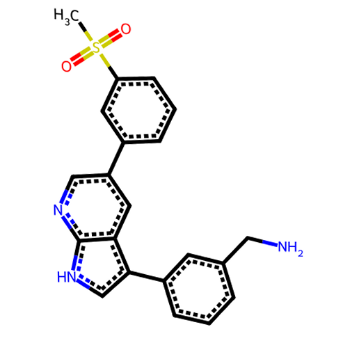 CS(=O)(=O)c1cccc(-c2cnc3[nH]cc(-c4cccc(CN)c4)c3c2)c1